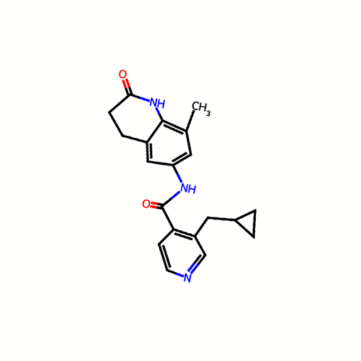 Cc1cc(NC(=O)c2ccncc2CC2CC2)cc2c1NC(=O)CC2